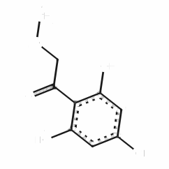 O=C(COP)c1c(O)cc(O)cc1O